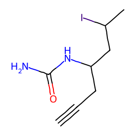 C#CCC(CC(C)I)NC(N)=O